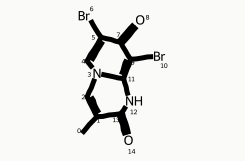 Cc1cn2cc(Br)c(=O)c(Br)c2[nH]c1=O